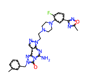 Cc1cccc(Cn2nc3c4cnn(CCN5CCN(c6cc(-c7noc(C)n7)ccc6F)CC5)c4nc(N)n3c2=O)c1